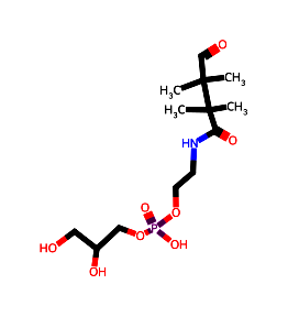 CC(C)(C=O)C(C)(C)C(=O)NCCOP(=O)(O)OCC(O)CO